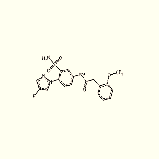 NS(=O)(=O)c1cc(NC(=O)Cc2ccccc2OC(F)(F)F)ccc1-n1cc(F)cn1